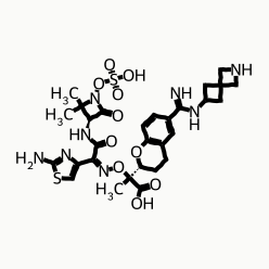 CC(O/N=C(\C(=O)N[C@@H]1C(=O)N(OS(=O)(=O)O)C1(C)C)c1csc(N)n1)(C(=O)O)[C@H]1CCc2cc(C(=N)NC3CC4(CNC4)C3)ccc2O1